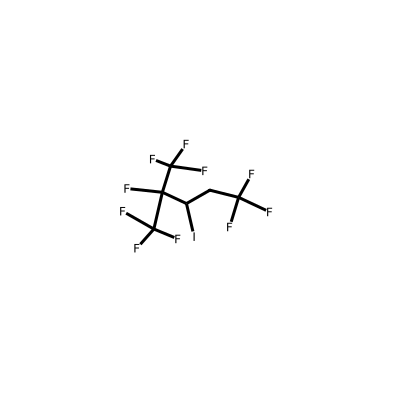 FC(F)(F)CC(I)C(F)(C(F)(F)F)C(F)(F)F